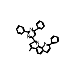 Cc1cc(-c2cc(-c3ccccc3)nc(-c3ccccc3)n2)nc2c1ccc1ccc(-c3ccccc3)nc12